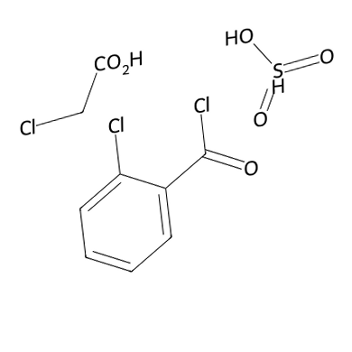 O=C(Cl)c1ccccc1Cl.O=C(O)CCl.O=[SH](=O)O